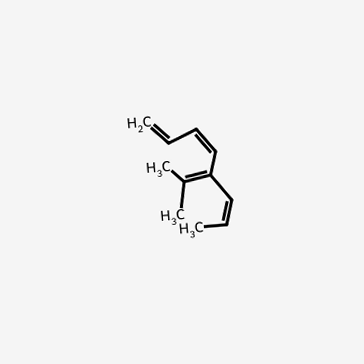 C=C/C=C\C(/C=C\C)=C(C)C